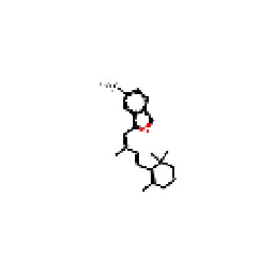 CCOC(=O)c1ccc2coc(C=C(C)C=CC3=C(C)CCCC3(C)C)c2c1